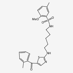 COc1ccc(C)cc1S(=O)(=O)NCCCCCNc1ncc(C(=O)c2ccccc2C)s1